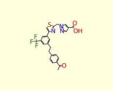 CC(=O)c1ccc(CCc2cc(-c3csc(Cn4cc(C(=O)O)cn4)n3)cc(C(F)(F)F)c2)cc1